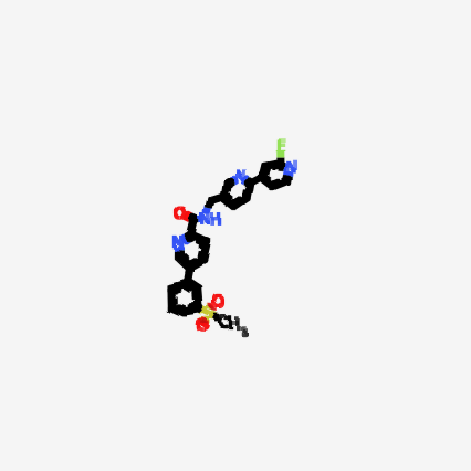 CS(=O)(=O)c1cccc(-c2ccc(C(=O)NCc3ccc(-c4ccnc(F)c4)nc3)nc2)c1